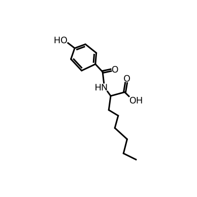 CCCCCCC(NC(=O)c1ccc(O)cc1)C(=O)O